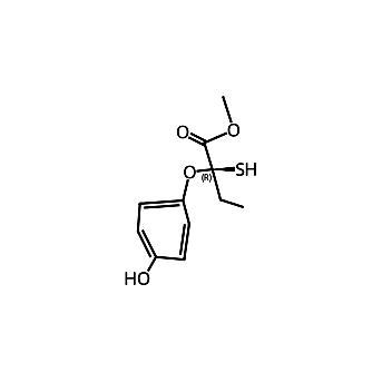 CC[C@](S)(Oc1ccc(O)cc1)C(=O)OC